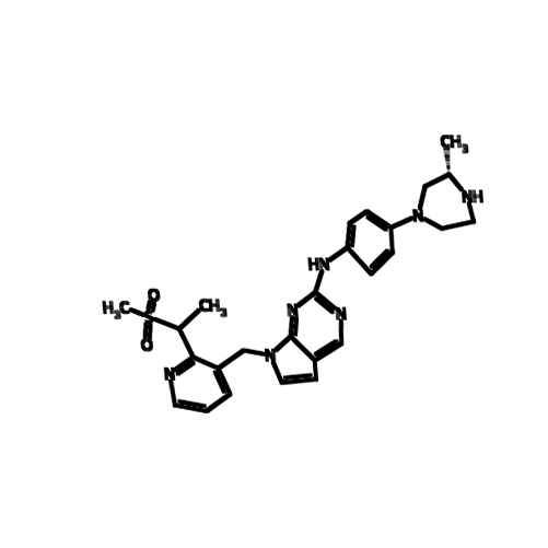 CC(c1ncccc1Cn1ccc2cnc(Nc3ccc(N4CCN[C@@H](C)C4)cc3)nc21)S(C)(=O)=O